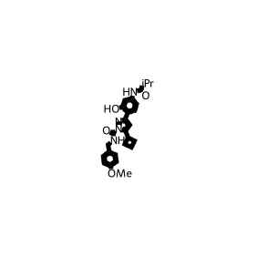 COc1ccc(CNC(=O)n2nc(-c3ccc(NC(=O)C(C)C)cc3O)cc2C2CCC2)cc1